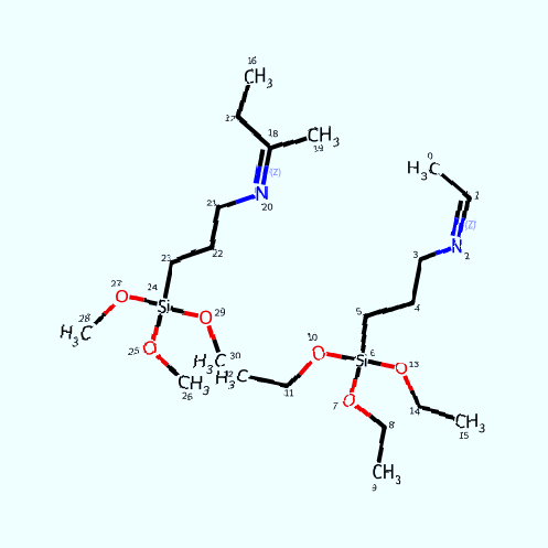 C/C=N\CCC[Si](OCC)(OCC)OCC.CC/C(C)=N\CCC[Si](OC)(OC)OC